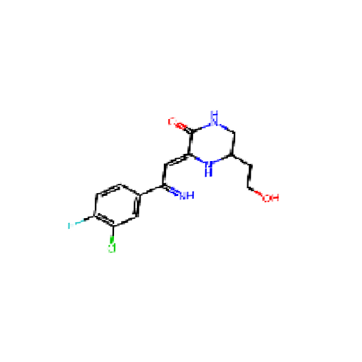 N=C(/C=C1\NC(CCO)CNC1=O)c1ccc(F)c(Cl)c1